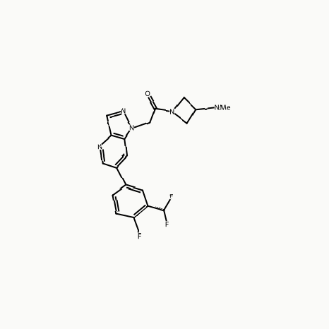 CNC1CN(C(=O)Cn2ncc3ncc(-c4ccc(F)c(C(F)F)c4)cc32)C1